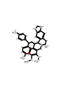 COc1ccc2c(c1OC)CN1CCc3cc4c(cc3C1C2CC(c1ccc(C)cc1)c1ccc(C)cc1)OCO4.I